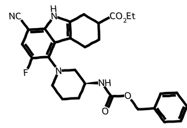 CCOC(=O)C1CCc2c([nH]c3c(C#N)cc(F)c(N4CCC[C@H](NC(=O)OCc5ccccc5)C4)c23)C1